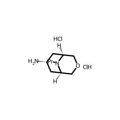 CC(C)N1[C@@H]2COC[C@H]1C[C@H](N)C2.Cl.Cl